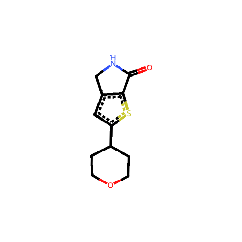 O=C1NCc2cc(C3CCOCC3)sc21